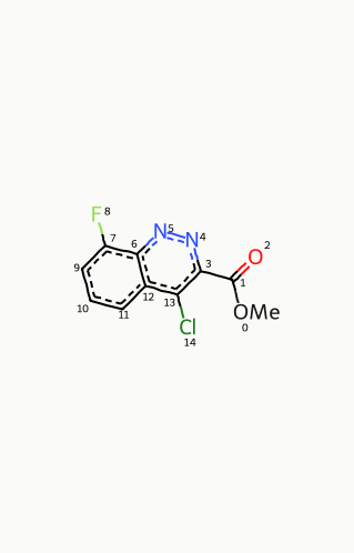 COC(=O)c1nnc2c(F)cccc2c1Cl